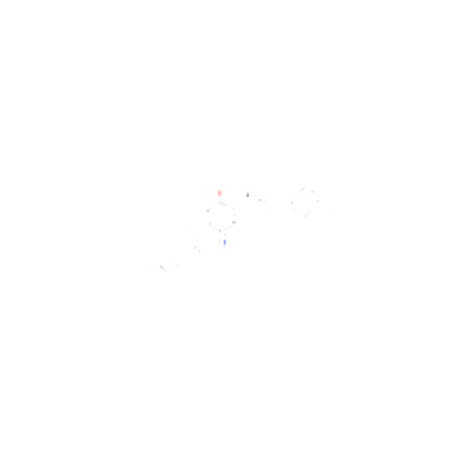 C=C[C@H]1CN2C(=O)c3c(O)c(=O)c(C(=O)NCc4ccc(F)c(Cl)c4F)cn3[C@@H]3CCC(CO1)C32